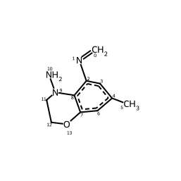 C=Nc1cc(C)cc2c1N(N)CCO2